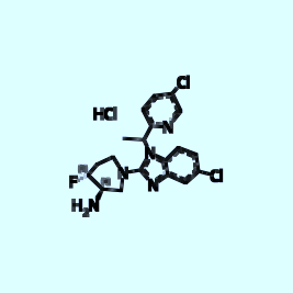 CC(c1ccc(Cl)cn1)n1c(N2CC[C@@H](F)[C@H](N)C2)nc2cc(Cl)ccc21.Cl